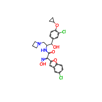 O=C(NC(CN1CCC1)C(O)c1ccc(OC2CC2)c(Cl)c1)/C(=N/O)c1cc2cc(Cl)ccc2o1